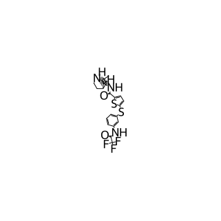 C[C@H]1[C@H](NC(=O)c2ccc(Sc3cccc(NC(=O)C(F)(F)F)c3)s2)C2CCN1CC2